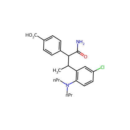 CCCN(CCC)c1ccc(Cl)cc1C(C)C(C(N)=O)c1ccc(C(=O)O)cc1